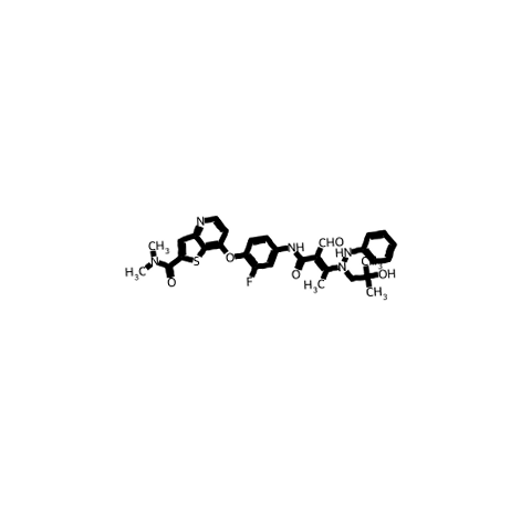 C/C(=C(/C=O)C(=O)Nc1ccc(Oc2ccnc3cc(C(=O)N(C)C)sc23)c(F)c1)N(CC(C)(C)O)Nc1ccccc1